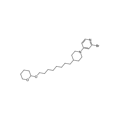 Brc1cc(N2CCC(CCCCCCCCOC3CCCCO3)CC2)ccn1